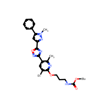 CCc1cc(-c2noc(-c3cc(-c4ccccc4)n(C)n3)n2)c(C)nc1OCCCNC(=O)OC(C)(C)C